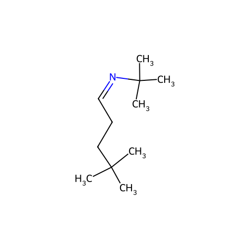 CC(C)(C)CC/C=N\C(C)(C)C